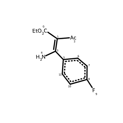 CCOC(=O)C(C(C)=O)=C(N)c1ccc(F)cc1